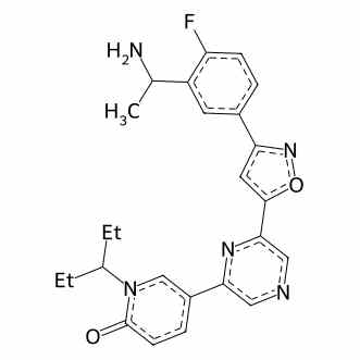 CCC(CC)n1cc(-c2cncc(-c3cc(-c4ccc(F)c(C(C)N)c4)no3)n2)ccc1=O